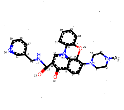 CC(=O)N1CCN(c2ccc3c(=O)c(C(=O)NCc4cccnc4)cn4c3c2Oc2ccccc2-4)CC1